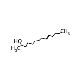 CCCCC=CCCCCCCC(C)O